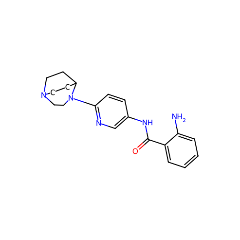 Nc1ccccc1C(=O)Nc1ccc(N2CCN3CCC2CC3)nc1